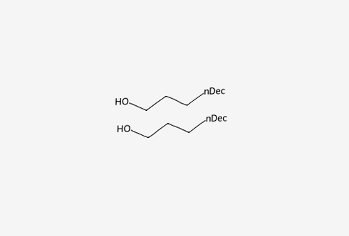 CCCCCCCCCCCCCO.CCCCCCCCCCCCCO